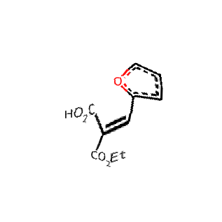 CCOC(=O)C(=Cc1ccco1)C(=O)O